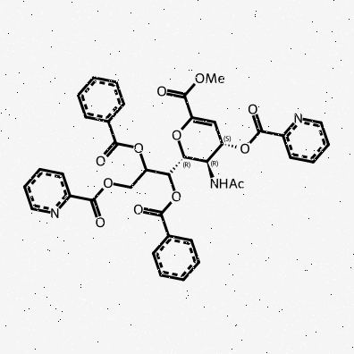 COC(=O)C1=C[C@H](OC(=O)c2ccccn2)[C@@H](NC(C)=O)[C@H](C(OC(=O)c2ccccc2)C(COC(=O)c2ccccn2)OC(=O)c2ccccc2)O1